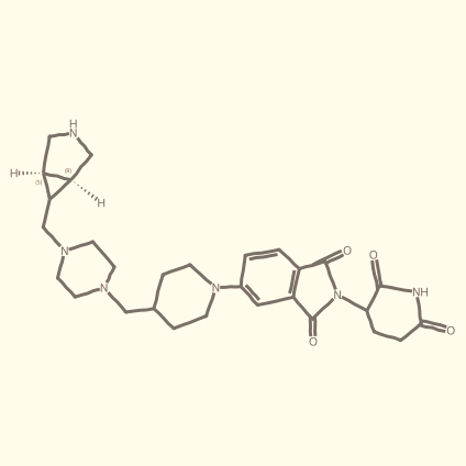 O=C1CCC(N2C(=O)c3ccc(N4CCC(CN5CCN(CC6[C@H]7CNC[C@@H]67)CC5)CC4)cc3C2=O)C(=O)N1